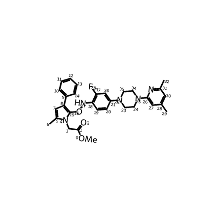 COC(=O)Cn1c(C)cc(-c2ccccc2)c1ONc1ccc(N2CCN(c3cc(C)cc(C)n3)CC2)cc1F